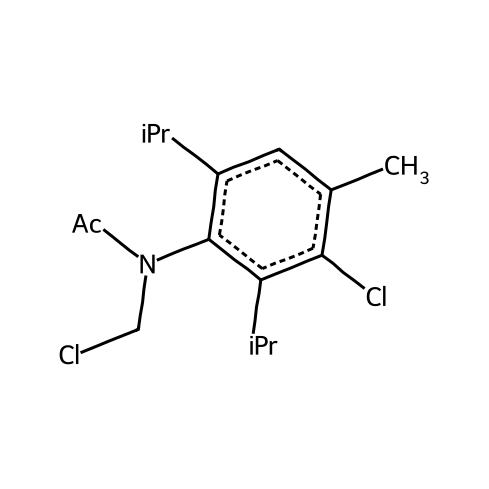 CC(=O)N(CCl)c1c(C(C)C)cc(C)c(Cl)c1C(C)C